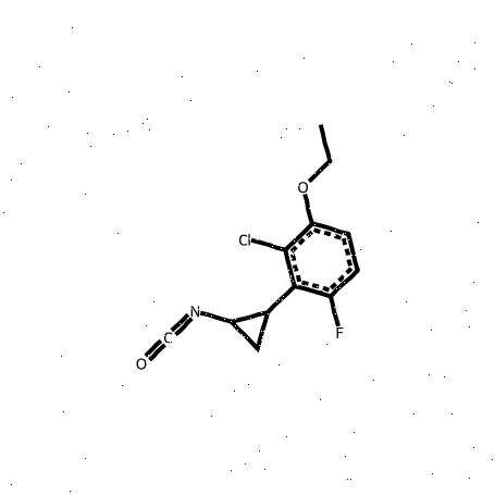 CCOc1ccc(F)c(C2CC2N=C=O)c1Cl